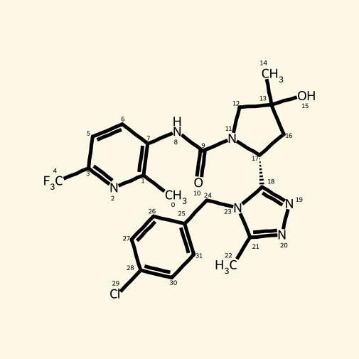 Cc1nc(C(F)(F)F)ccc1NC(=O)N1CC(C)(O)C[C@@H]1c1nnc(C)n1Cc1ccc(Cl)cc1